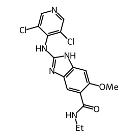 CCNC(=O)c1cc2nc(Nc3c(Cl)cncc3Cl)[nH]c2cc1OC